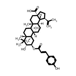 C=C(C)[C@@H]1CC[C@]2(C(=O)O)CC[C@]3(C)[C@H](CC[C@@H]4[C@@]5(C)C[C@@H](OC(=O)/C=C/c6ccc(O)cc6)[C@H](O)C(C)(C)[C@@H]5CC[C@]43C)[C@@H]12